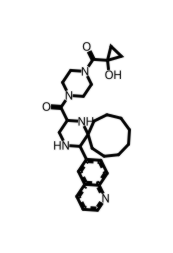 O=C(C1CNC(c2ccc3ncccc3c2)C2(CCCCCCCC2)N1)N1CCN(C(=O)C2(O)CC2)CC1